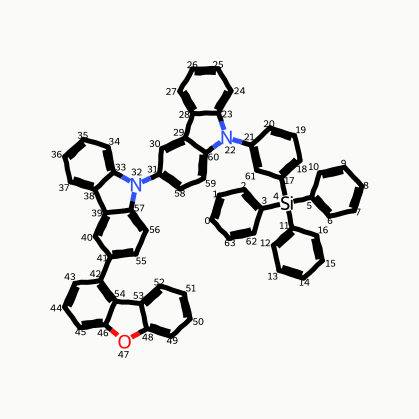 c1ccc([Si](c2ccccc2)(c2ccccc2)c2cccc(-n3c4ccccc4c4cc(-n5c6ccccc6c6cc(-c7cccc8oc9ccccc9c78)ccc65)ccc43)c2)cc1